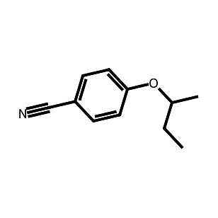 CC[C](C)Oc1ccc(C#N)cc1